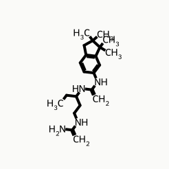 C=C(N)NCCC(CC)NC(=C)Nc1ccc2c(c1)C(C)(C)C(C)(C)C2